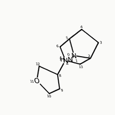 NN1C2CCC1CN(C1CCOC1)C2